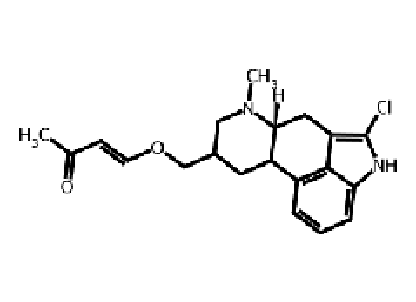 CC(=O)C=COCC1CC2c3cccc4[nH]c(Cl)c(c34)C[C@H]2N(C)C1